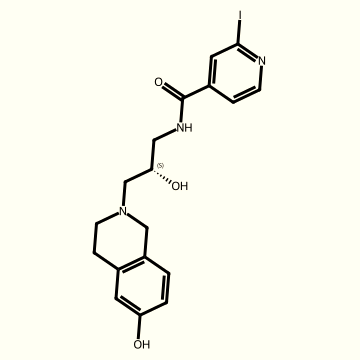 O=C(NC[C@H](O)CN1CCc2cc(O)ccc2C1)c1ccnc(I)c1